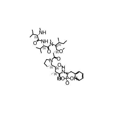 CC[C@H](C)[C@@H]([C@@H](CC(=O)N1CCC[C@H]1[C@H](OC)[C@@H](C)C(=O)N[C@@H](Cc1ccccc1)P(=O)(O)O)OC)N(C)C(=O)[C@@H](NC(=O)[C@@H](NC)C(C)C)C(C)C